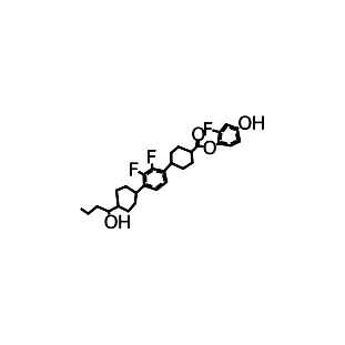 CCCC(O)C1CCC(c2ccc(C3CCC(C(=O)Oc4ccc(O)cc4F)CC3)c(F)c2F)CC1